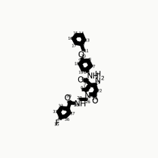 Cc1c(C(=O)Nc2ccc(OCc3ccccc3)cc2)c(N)cc(=O)n1CCNC(=O)c1ccc(F)cc1